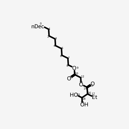 CCCCCCCCCCCCCCCCCCOC(=O)COC(=O)C(CC)C(O)O